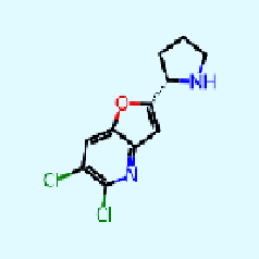 Clc1cc2oc([C@@H]3CCCN3)cc2nc1Cl